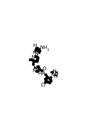 Cc1nc(N2C[C@H]3[C@H]4C2[C@@]43N)ccc1Cn1cc(C(=O)NCc2cc(Cl)ccc2-n2cnnn2)cn1